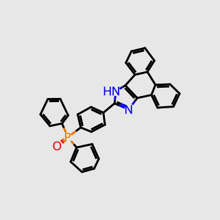 O=P(c1ccccc1)(c1ccccc1)c1ccc(-c2nc3c4ccccc4c4ccccc4c3[nH]2)cc1